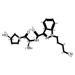 CC(C)(C)[C@H](NC(=O)c1nn(CCCCC#N)c2ccccc12)C(=O)N1CC[C@@H](O)C1